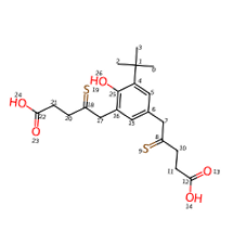 CC(C)(C)c1cc(CC(=S)CCC(=O)O)cc(CC(=S)CCC(=O)O)c1O